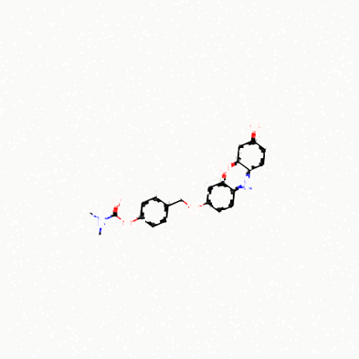 CN(C)C(=O)Oc1ccc(COc2ccc3nc4ccc(=O)cc-4oc3c2)cc1